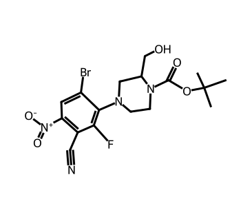 CC(C)(C)OC(=O)N1CCN(c2c(Br)cc([N+](=O)[O-])c(C#N)c2F)CC1CO